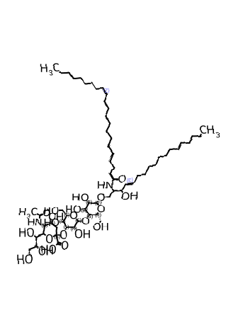 CCCCCCCC/C=C\CCCCCCCCCCCC(=O)NC(CO[C@@H]1O[C@H](CO)[C@@H](O[C@@H]2O[C@H](CO)[C@H](O)[C@H](O[C@]3(C(=O)O)C[C@H](O)[C@@H](NC(C)=O)C(C(O)C(O)CO)O3)[C@H]2O)[C@H](O)[C@H]1O)C(O)/C=C/CCCCCCCCCCCCC